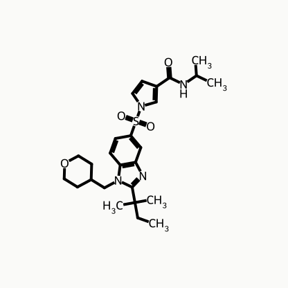 CCC(C)(C)c1nc2cc(S(=O)(=O)n3ccc(C(=O)NC(C)C)c3)ccc2n1CC1CCOCC1